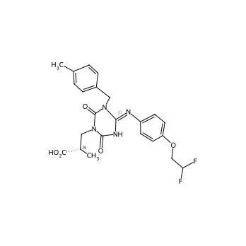 Cc1ccc(Cn2c(=O)n(C[C@H](C)C(=O)O)c(=O)[nH]/c2=N\c2ccc(OCC(F)F)cc2)cc1